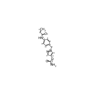 C=CC(=O)Nc1ccc(Cn2cc(OC(N)=O)cn2)cc1